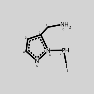 NCc1ccnn1PI